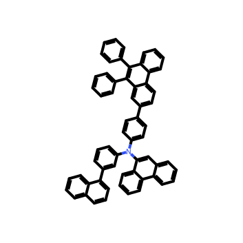 c1ccc(-c2c(-c3ccccc3)c3cc(-c4ccc(N(c5cccc(-c6cccc7ccccc67)c5)c5cc6ccccc6c6ccccc56)cc4)ccc3c3ccccc23)cc1